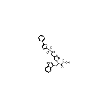 O=C(NO)C(Cc1c[nH]c2ccccc12)n1cc(CNS(=O)(=O)c2ccc(-c3ccccc3)s2)nn1